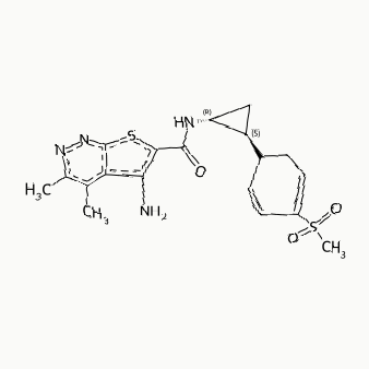 Cc1nnc2sc(C(=O)N[C@@H]3C[C@H]3C3C=CC(S(C)(=O)=O)=CC3)c(N)c2c1C